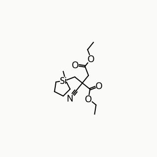 CCOC(=O)CC(C#N)(C[Si]1(C)CCCC1)C(=O)OCC